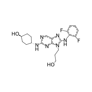 OCCCn1c(Nc2c(F)cccc2F)nc2cnc(N[C@H]3CC[C@H](O)CC3)nc21